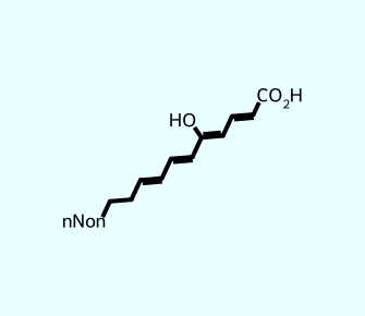 CCCCCCCCCCC/C=C/C=C/C(O)=C/C=C/C(=O)O